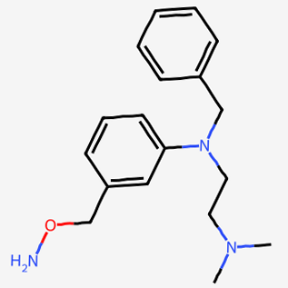 CN(C)CCN(Cc1ccccc1)c1cccc(CON)c1